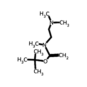 C=C(OC(C)(C)C)N(C)CCN(C)C